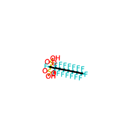 O=S(=O)(O)C(F)(C(F)(F)C(F)(F)C(F)(F)C(F)(F)C(F)(F)C(F)(F)C(F)(F)F)S(=O)(=O)O